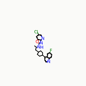 CC(CC1CCC(c2ccnc3ccc(F)cc23)CC1)Nc1nc2ncc(Cl)cc2o1